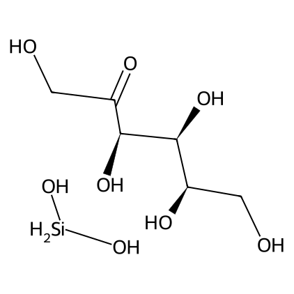 O=C(CO)[C@H](O)[C@@H](O)[C@H](O)CO.O[SiH2]O